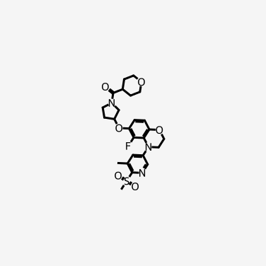 Cc1cc(N2CCOc3ccc(OC4CCN(C(=O)C5CCOCC5)C4)c(F)c32)cnc1S(C)(=O)=O